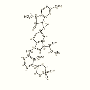 COc1ccc2c(c1)[C@]1(C[C@H]1c1ccc3c(Nc4ncnc(N5CCS(=O)(=O)CC5)c4OC)nn(C(=O)OC(C)(C)C)c3c1)C(=O)N2C(=O)O